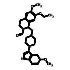 CCOc1cc2c(cc1OC)CCN(C=O)C2CN1CCN(c2c[nH]c3c2CC(OC)C=C3)CC1